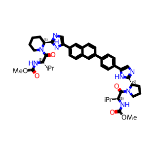 COC(=O)N[C@H](C(=O)N1CCCC[C@H]1c1ncc(-c2ccc3cc(-c4ccc(-c5cnc([C@@H]6CCCN6C(=O)[C@@H](NC(=O)OC)C(C)C)[nH]5)cc4)ccc3c2)[nH]1)C(C)C